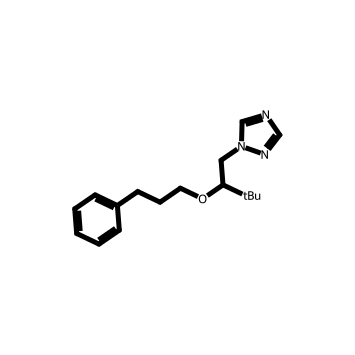 CC(C)(C)C(Cn1cncn1)OCCCc1ccccc1